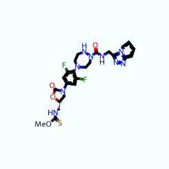 COC(=S)NC[C@H]1CN(c2cc(F)c(N3CCNN(C(=O)NCc4nnc5ccccn45)CC3)c(F)c2)C(=O)O1